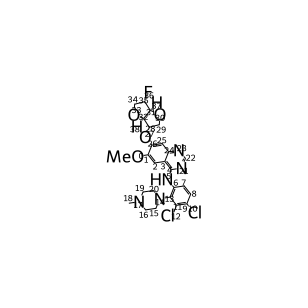 COc1cc2c(Nc3ccc(Cl)c(Cl)c3N3CCN(C)CC3)ncnc2cc1O[C@H]1CO[C@H]2[C@@H]1OC[C@@H]2F